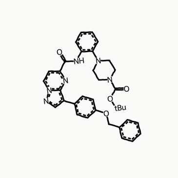 CC(C)(C)OC(=O)N1CCN(c2ccccc2NC(=O)c2ccn3ncc(-c4ccc(OCc5ccccc5)cc4)c3n2)CC1